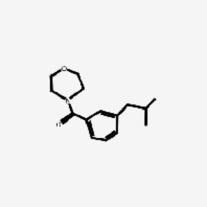 CC(C)Cc1cccc(C(=O)N2CCOCC2)c1